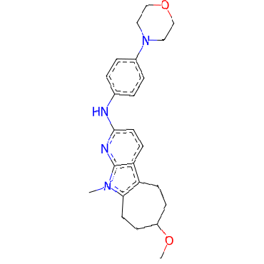 COC1CCc2c(n(C)c3nc(Nc4ccc(N5CCOCC5)cc4)ccc23)CC1